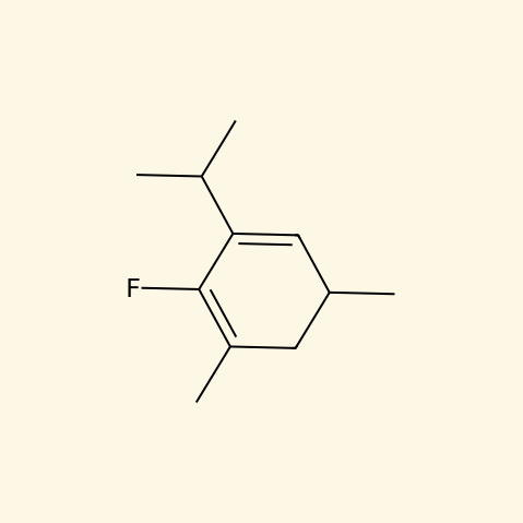 CC1=C(F)C(C(C)C)=CC(C)C1